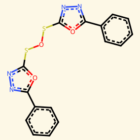 c1ccc(-c2nnc(SOSc3nnc(-c4ccccc4)o3)o2)cc1